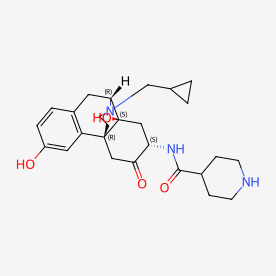 O=C(N[C@H]1C[C@@]2(O)[C@H]3Cc4ccc(O)cc4[C@@]2(CCN3CC2CC2)CC1=O)C1CCNCC1